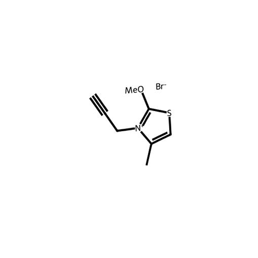 C#CC[n+]1c(C)csc1OC.[Br-]